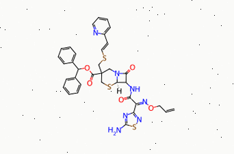 C=CCON=C(C(=O)NC1C(=O)N2CC(CSC=Cc3ccccn3)(C(=O)OC(c3ccccc3)c3ccccc3)CS[C@H]12)c1nsc(N)n1